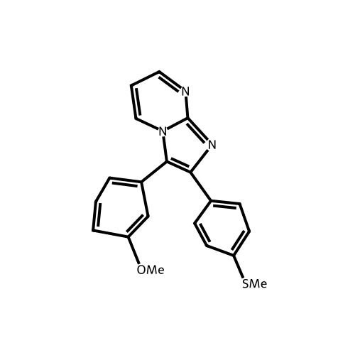 COc1cccc(-c2c(-c3ccc(SC)cc3)nc3ncccn23)c1